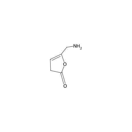 NCC1=CCC(=O)O1